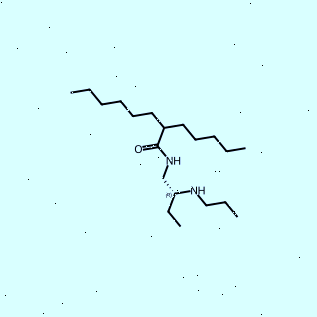 CCCCCCC(CCCCC)C(=O)NC[C@@H](CC)NCCC